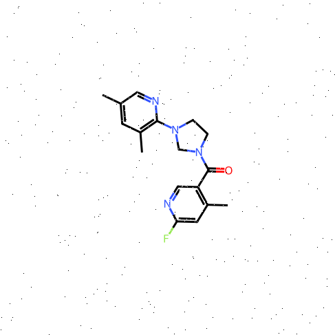 Cc1cnc(N2CCN(C(=O)c3cnc(F)cc3C)C2)c(C)c1